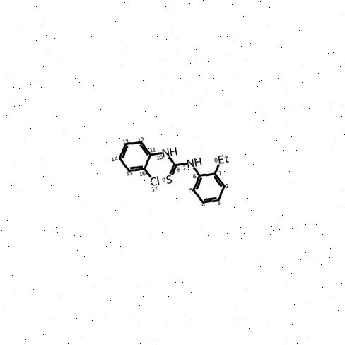 CCc1ccccc1NC(=S)Nc1ccccc1Cl